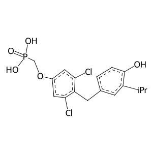 CC(C)c1cc(Cc2c(Cl)cc(OCP(=O)(O)O)cc2Cl)ccc1O